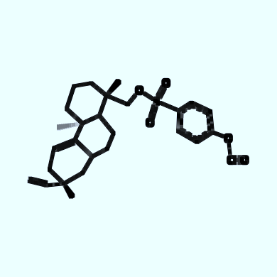 C=C[C@]1(C)CC=C2C(CCC3[C@@](C)(COS(=O)(=O)c4ccc(OC=O)cc4)CCC[C@]23C)C1